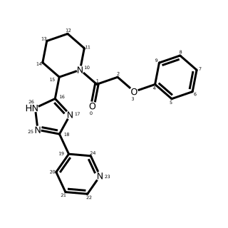 O=C(COc1ccccc1)N1CCCCC1c1nc(-c2cccnc2)n[nH]1